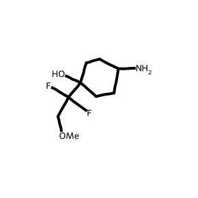 COCC(F)(F)C1(O)CCC(N)CC1